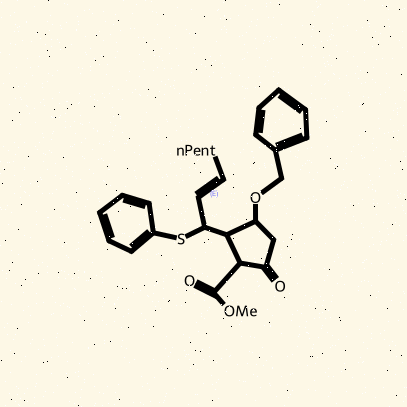 CCCCC/C=C/C(Sc1ccccc1)C1C(OCc2ccccc2)CC(=O)C1C(=O)OC